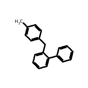 Cc1ccc(Cc2ccccc2-c2ccccc2)cc1